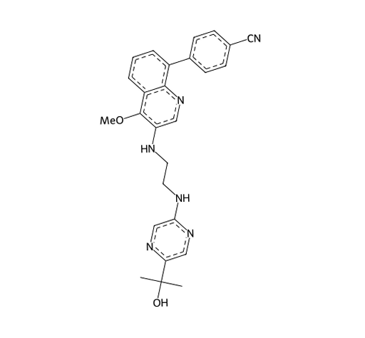 COc1c(NCCNc2cnc(C(C)(C)O)cn2)cnc2c(-c3ccc(C#N)cc3)cccc12